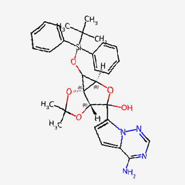 CC1(C)O[C@H]2C(O)(c3ccc4c(N)ncnn34)O[C@@H]3C(O[Si](c4ccccc4)(c4ccccc4)C(C)(C)C)[C@@]32O1